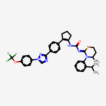 CC(C)c1ccccc1N1/C(=N/C(=O)NC2=C(c3ccc(-c4ncn(-c5ccc(OC(F)(F)F)cc5)n4)cc3)CCC2)SCCC1C